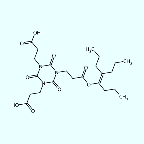 CCCC(CCC)=C(CCC)OC(=O)CCn1c(=O)n(CCC(=O)O)c(=O)n(CCC(=O)O)c1=O